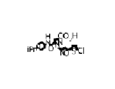 CC(C)N1CCC(NC(=O)c2cc(C(=O)O)nn2Cc2cc(-c3ccc(Cl)s3)on2)CC1